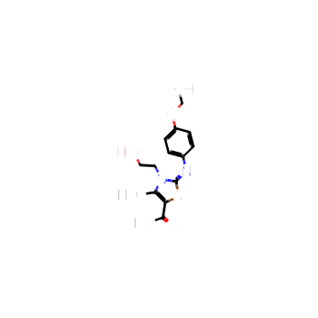 CCOc1ccc(N=c2sc(C(C)=O)c(C)n2CCO)cc1